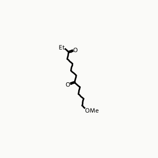 CCC(=O)CCCCC(=O)CCCCOC